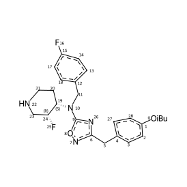 CC(C)COc1ccc(Cc2noc(N(Cc3ccc(F)cc3)[C@H]3CCNC[C@H]3F)n2)cc1